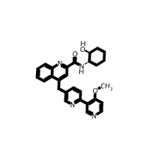 COc1ccncc1-c1ccc(Cc2cc(C(=O)N[C@H]3CCCC[C@@H]3O)nc3ccccc23)cn1